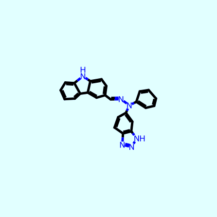 C(=N\N(c1ccccc1)c1ccc2nn[nH]c2c1)/c1ccc2[nH]c3ccccc3c2c1